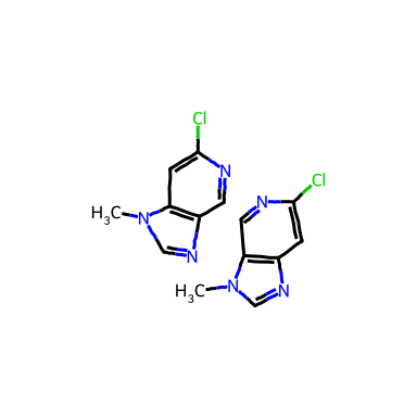 Cn1cnc2cc(Cl)ncc21.Cn1cnc2cnc(Cl)cc21